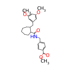 COC(=O)c1ccc(CNC(=O)C2CCCCCC2Cc2cc(OC)cc(OC)c2)cc1